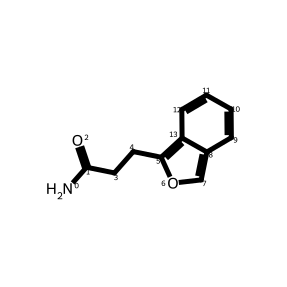 NC(=O)CCc1occ2ccccc12